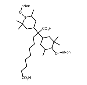 CCCCCCCCCON1C(C)CC(C(CCCCCCCC(=O)O)(C(=O)O)C2CC(C)N(OCCCCCCCCC)C(C)(C)C2)CC1(C)C